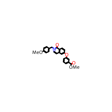 COC(=O)c1cccc(Oc2ccc3c(=O)n(Cc4ccc(OC)cc4)ccc3c2)c1